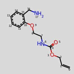 C=CCOC(=O)NCCOc1ccccc1CN